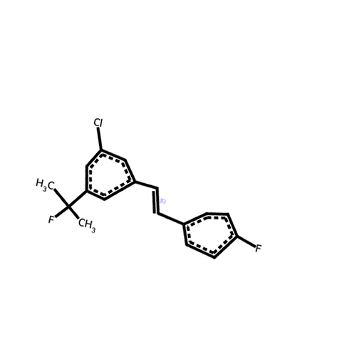 CC(C)(F)c1cc(Cl)cc(/C=C/c2ccc(F)cc2)c1